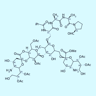 COC(=O)[C@@]1(OCC2O[C@H](OC[C@H](NC(=O)C(C)C)C(=O)N[C@@H](C)C(=O)N[C@@H](C)C(=O)N3CCC[C@H]3C=O)C(C)[C@@H](O[C@@H]3OC(COC(C)=O)[C@@H]4OC(=O)[C@]5(C[C@@H](O)[C@@H](N)C([C@H](OC(C)=O)[C@@H](CO)OC(C)=O)O5)OC4[C@@H]3OC(C)=O)[C@H]2O)C[C@@H](O)[C@@H](N)C([C@H](OC(C)=O)[C@@H](CO)OC(C)=O)O1